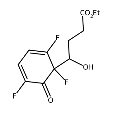 CCOC(=O)CCC(O)C1(F)C(=O)C(F)=CC=C1F